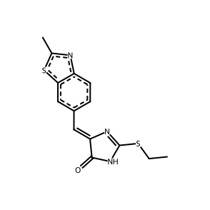 CCSC1=N/C(=C\c2ccc3nc(C)sc3c2)C(=O)N1